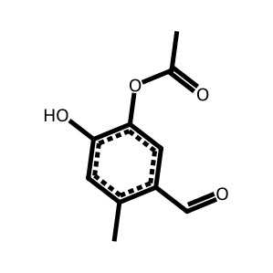 CC(=O)Oc1cc(C=O)c(C)cc1O